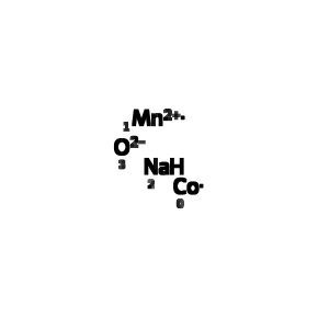 [Co].[Mn+2].[NaH].[O-2]